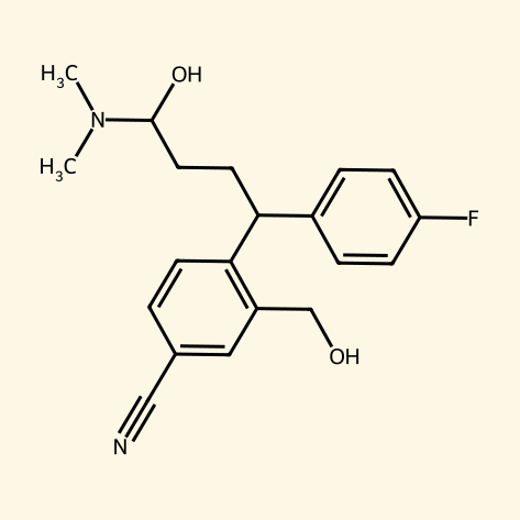 CN(C)C(O)CCC(c1ccc(F)cc1)c1ccc(C#N)cc1CO